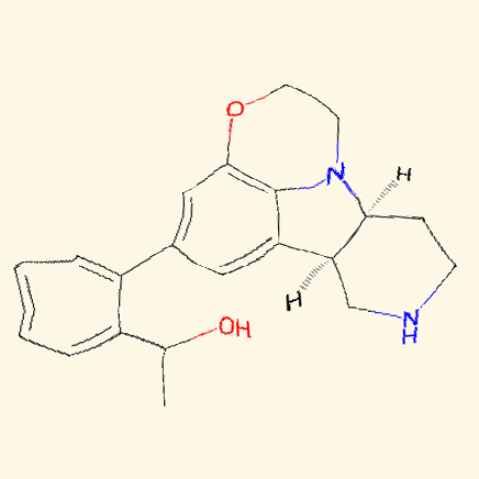 CC(O)c1ccccc1-c1cc2c3c(c1)[C@@H]1CNCC[C@@H]1N3CCO2